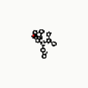 c1ccc(-c2cc(-c3ccccc3)cc(-c3nc(-c4ccc5c(c4)C4(c6ccccc6-c6ccccc6-c6ccccc64)c4ccccc4-5)nc(-c4ccc5c(c4)oc4ccccc45)n3)c2)cc1